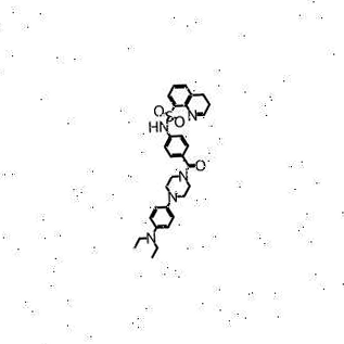 CCN(CC)c1ccc(N2CCN(C(=O)c3ccc(NS(=O)(=O)c4cccc5c4N=CCC5)cc3)CC2)cc1